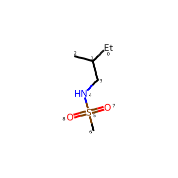 CCC(C)CNS(C)(=O)=O